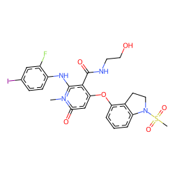 Cn1c(Nc2ccc(I)cc2F)c(C(=O)NCCO)c(Oc2cccc3c2CCN3S(C)(=O)=O)cc1=O